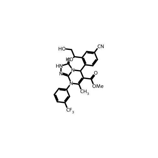 COC(=O)C1=C(C)N(c2cccc(C(F)(F)F)c2)c2n[nH]c(=O)n2C1c1ccc(C#N)cc1C(O)CO